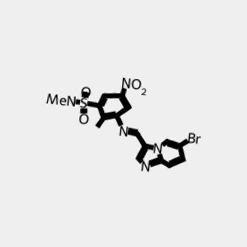 CNS(=O)(=O)c1cc([N+](=O)[O-])cc(/N=C/c2cnc3ccc(Br)cn23)c1C